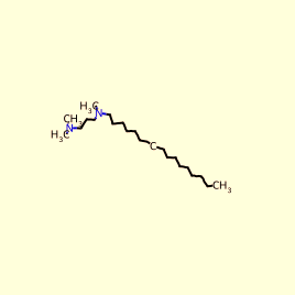 CCCCCCCCCCCCCCCCCN(C)CCCN(C)C